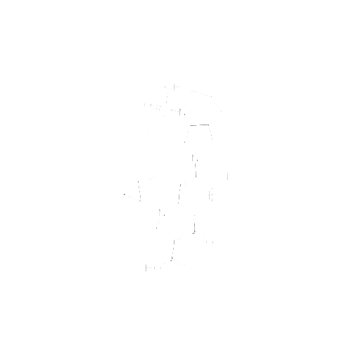 COc1c(N2CC3CCCN(P(=O)(O)OC)C3C2)c(F)cc2c(=O)c(C(=O)O)cn(C3CC3)c12